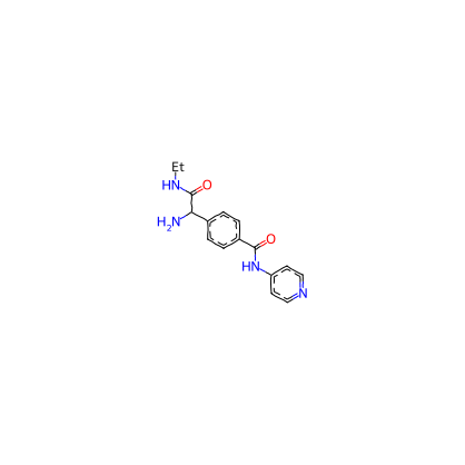 CCNC(=O)C(N)c1ccc(C(=O)Nc2ccncc2)cc1